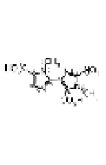 Cn1c(C(=O)O)cnc1-c1nc([N+](=O)[O-])n(C)c1C(=O)O